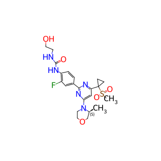 C[C@H]1COCCN1c1cc(C2(S(C)(=O)=O)CC2)nc(-c2ccc(NC(=O)NCCO)c(F)c2)n1